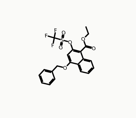 CCOC(=O)c1c(OS(=O)(=O)C(F)(F)F)cc(OCc2ccccc2)c2ccccc12